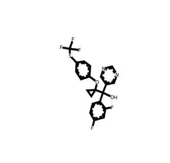 OC(c1cncnc1)(c1ccc(F)cc1F)C1(Oc2ccc(SC(F)(F)F)cc2)CC1